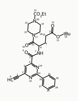 C#Cc1cc(C(=O)NC(CCC(=O)OC(C)(C)C)C(=O)N2CCN(C(=O)OCC)CC2)nc(-c2ccccc2)n1